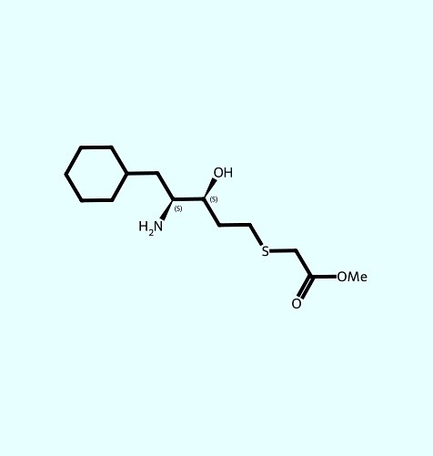 COC(=O)CSCC[C@H](O)[C@@H](N)CC1CCCCC1